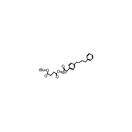 CC(C)(C)OC(=O)CCC(=O)ONC(=O)Cc1ccc(CCCCc2ccccc2)cc1